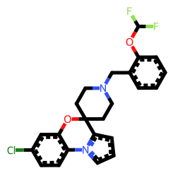 FC(F)Oc1ccccc1CN1CCC2(CC1)Oc1cc(Cl)ccc1-n1cccc12